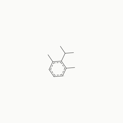 Cc1[c]ccc(C)c1C(C)C